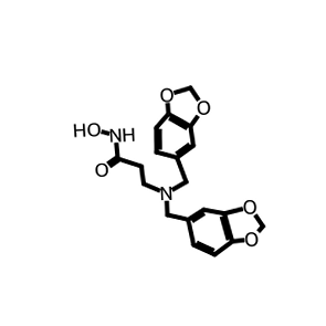 O=C(CCN(Cc1ccc2c(c1)OCO2)Cc1ccc2c(c1)OCO2)NO